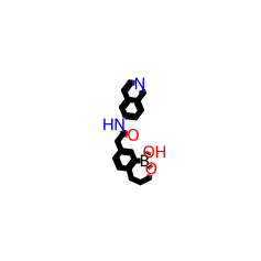 O=C(Cc1ccc2c(c1)B(O)OCCC2)Nc1ccc2cnccc2c1